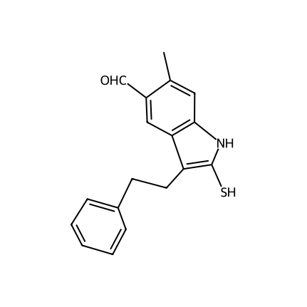 Cc1cc2[nH]c(S)c(CCc3ccccc3)c2cc1C=O